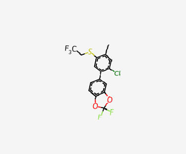 Cc1cc(Cl)c(-c2ccc3c(c2)OC(F)(F)O3)cc1SCC(F)(F)F